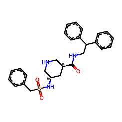 O=C(NCC(c1ccccc1)c1ccccc1)[C@@H]1CNC[C@H](NS(=O)(=O)Cc2ccccc2)C1